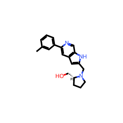 Cc1cccc(-c2cc3cc(CN4CCC[C@@H]4CO)[nH]c3cn2)c1